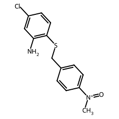 C[N+](=O)c1ccc(CSc2ccc(Cl)cc2N)cc1